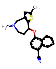 Cc1cc2c(s1)C(Oc1ccc(C#N)c3ccccc13)CCN(C)C2